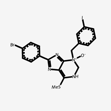 CSC1=C2N=C(c3ccc(Br)cc3)N=C2[N+]([O-])(Cc2cccc(I)c2)CN1